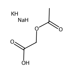 CC(=O)OCC(=O)O.[KH].[NaH]